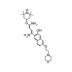 CC1(C)CC(O/C(N)=C/C=C(\N)c2cc3ccc(OCCN4CCOCC4)cc3cc2O)CC(C)(C)N1